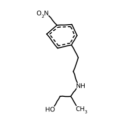 CC(CO)NCCc1ccc([N+](=O)[O-])cc1